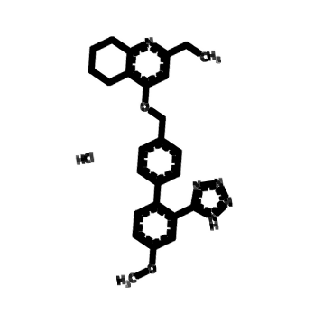 CCc1cc(OCc2ccc(-c3ccc(OC)cc3-c3nnn[nH]3)cc2)c2c(n1)CCCC2.Cl